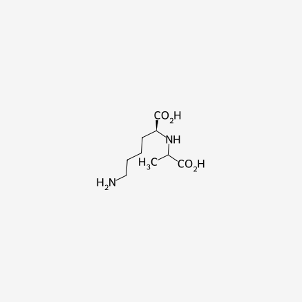 CC(N[C@@H](CCCCN)C(=O)O)C(=O)O